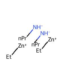 CCC[NH-].CCC[NH-].C[CH2][Zn+].C[CH2][Zn+]